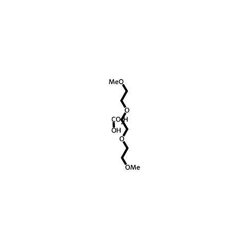 COCCOCCOCCOC.O=C(O)O